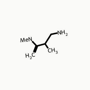 C=C(NC)C(C)CN